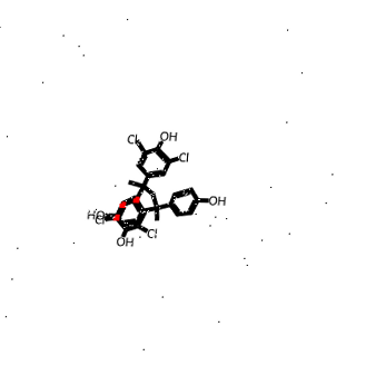 CC(CC(C)(c1cc(Cl)c(O)c(Cl)c1)c1cc(Cl)c(O)c(Cl)c1)(c1ccc(O)cc1)c1ccc(O)cc1